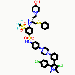 Cc1c(Cl)c(-c2cccc(N3CCN(c4ccc(NS(=O)(=O)c5ccc(N[C@H](CCN6CCC(O)CC6)CSc6ccccc6)c(S(=O)(=O)C(F)(F)F)c5)cc4)CC3)c2)c(-c2ccc(Cl)cc2)n1C